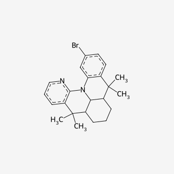 CC1(C)c2ccc(Br)cc2N2c3ncccc3C(C)(C)C3CCCC1C32